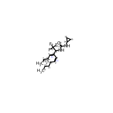 C=C(/C=C\C(=C/CCC)C(NC(=O)NC1CC1)C(F)(F)F)CCC